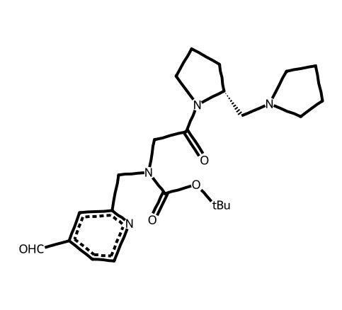 CC(C)(C)OC(=O)N(CC(=O)N1CCC[C@@H]1CN1CCCC1)Cc1cc(C=O)ccn1